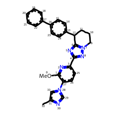 COc1nc(-c2nc3n(n2)CCCC3c2ccc(-c3ccccc3)cc2)ccc1-n1cnc(C)c1